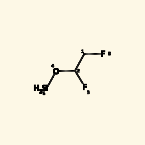 FCC(F)O[SiH3]